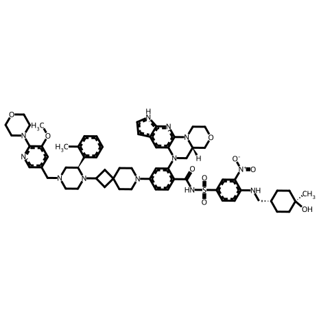 COc1cc(CN2CCN(C3CC4(CCN(c5ccc(C(=O)NS(=O)(=O)c6ccc(NC[C@H]7CC[C@](C)(O)CC7)c([N+](=O)[O-])c6)c(N6C[C@H]7COCCN7c7nc8[nH]ccc8cc76)c5)CC4)C3)[C@H](c3ccccc3C)C2)cnc1N1CCOCC1